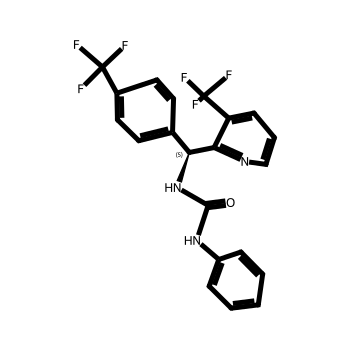 O=C(Nc1ccccc1)N[C@@H](c1ccc(C(F)(F)F)cc1)c1ncccc1C(F)(F)F